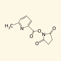 Cc1cccc(C(=O)ON2C(=O)CCC2=O)n1